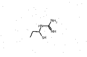 CCC(S)NC(=N)N